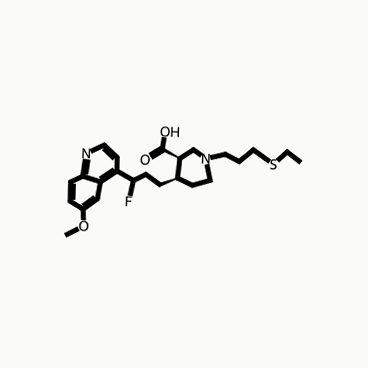 CCSCCCN1CC[C@@H](CCC(F)c2ccnc3ccc(OC)cc23)[C@@H](C(=O)O)C1